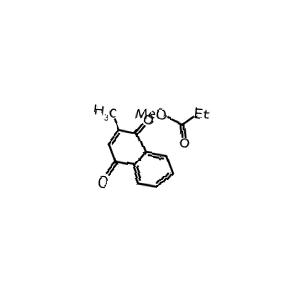 CC1=CC(=O)c2ccccc2C1=O.CCC(=O)OC